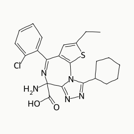 CCc1cc2c(s1)-n1c(C3CCCCC3)nnc1C(N)(C(=O)O)N=C2c1ccccc1Cl